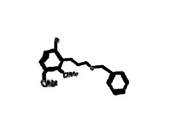 COc1ccc(Br)c(CCCOCc2ccccc2)c1OC